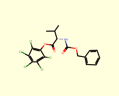 CC(C)[C@H](NC(=O)OCc1ccccc1)C(=O)Oc1c(Cl)c(Cl)c(Cl)c(Cl)c1Cl